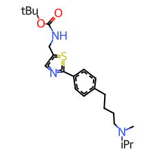 CC(C)N(C)CCCCc1ccc(-c2ncc(CNC(=O)OC(C)(C)C)s2)cc1